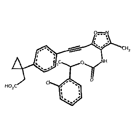 Cc1noc(C#Cc2ccc(C3(CC(=O)O)CC3)cc2)c1NC(=O)OC(C)c1ccccc1Cl